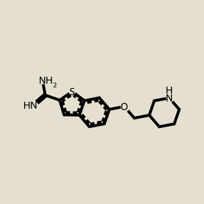 N=C(N)c1cc2ccc(OCC3CCCNC3)cc2s1